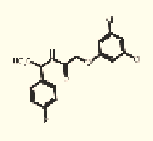 O=C(COc1cc(Cl)cc(Cl)c1)NC(C(=O)O)c1ccc(F)cc1